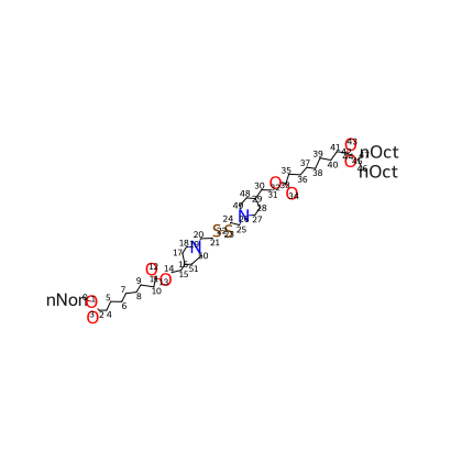 CCCCCCCCCOC(=O)CCCCCCCC(=O)OCCC1CCN(CCSSCCN2CCC(CCOC(=O)CCCCCCCC(=O)OC(CCCCCCCC)CCCCCCCC)CC2)CC1